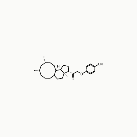 C[C@H]1CCCC2CC[C@@]3(C)C(CC[C@@H]3C(=O)COc3ccc(C#N)cc3)[C@@H]2CC[C@@H](F)C1